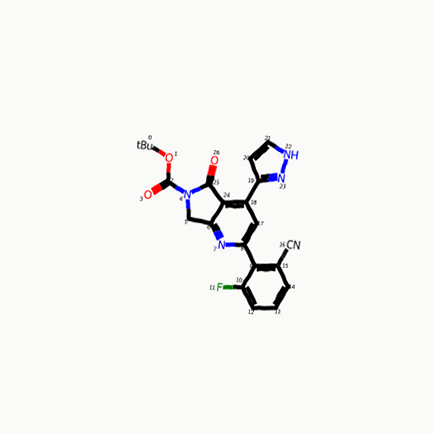 CC(C)(C)OC(=O)N1Cc2nc(-c3c(F)cccc3C#N)cc(-c3cc[nH]n3)c2C1=O